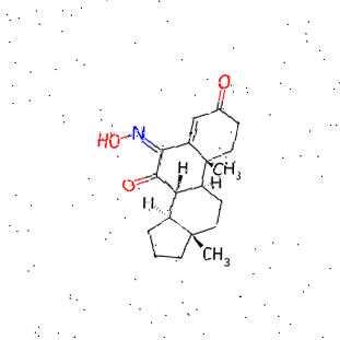 C[C@@]12CCC[C@H]1[C@@H]1C(=O)/C(=N\O)C3=CC(=O)CC[C@]3(C)[C@H]1CC2